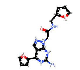 Nc1nc(-c2ccco2)c2cnn(CC(=O)NCc3ccco3)c2n1